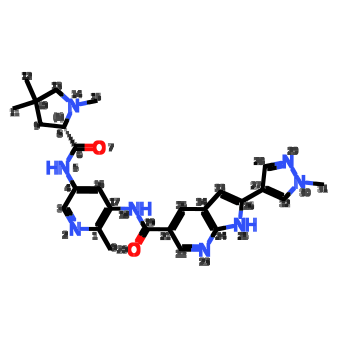 Cc1ncc(NC(=O)[C@@H]2CC(C)(C)CN2C)cc1NC(=O)c1cnc2[nH]c(-c3cnn(C)c3)cc2c1